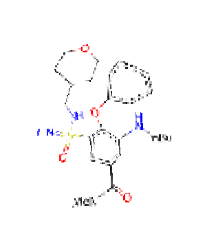 CCCCNc1cc(C(=O)NC)cc(S(=N)(=O)NCC2CCOCC2)c1Oc1ccccc1